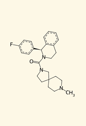 CN1CCC2(CC1)CCN(C(=O)N1CCc3ccccc3[C@@H]1c1ccc(F)cc1)C2